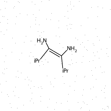 CC(C)/C(N)=C(/N)C(C)C